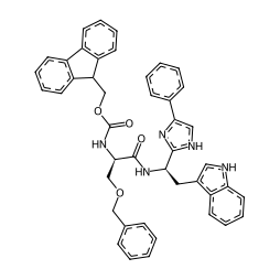 O=C(N[C@H](COCc1ccccc1)C(=O)N[C@H](Cc1c[nH]c2ccccc12)c1nc(-c2ccccc2)c[nH]1)OCC1c2ccccc2-c2ccccc21